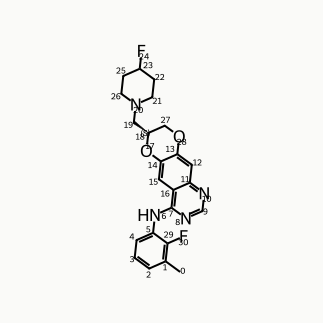 Cc1cccc(Nc2ncnc3cc4c(cc23)O[C@@H](CN2CCC(F)CC2)CO4)c1F